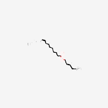 CCCCCCCC/C=C\CCCCCCCC(=O)OCCCCC(C)C